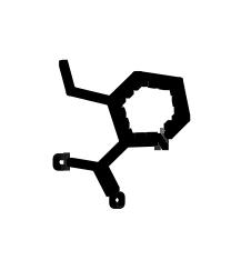 CCc1cccnc1C(=O)Cl